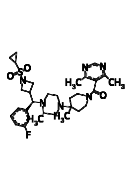 Cc1ncnc(C)c1C(=O)N1CCC(C)(N2CCN([C@@H](c3cccc(F)c3)C3CN(S(=O)(=O)C4CC4)C3)[C@@H](C)C2)CC1